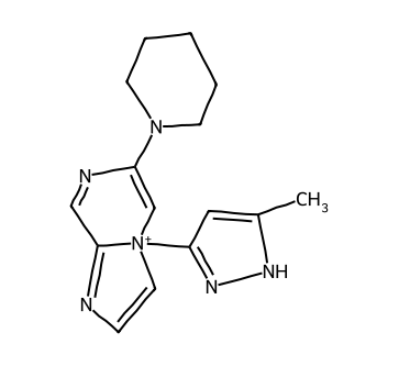 Cc1cc([N+]23C=CN=C2C=NC(N2CCCCC2)=C3)n[nH]1